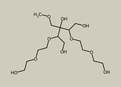 COCC(O)(C(CO)OCCOCCO)C(CO)OCCOCCO